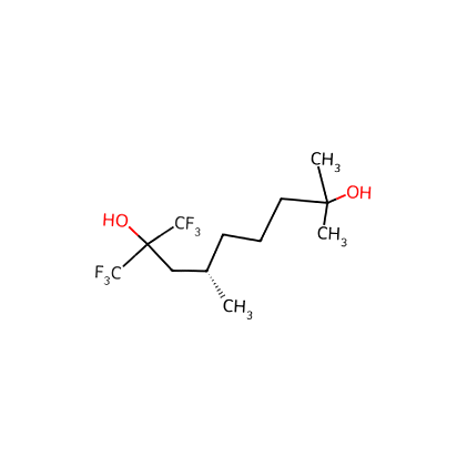 C[C@@H](CCCC(C)(C)O)CC(O)(C(F)(F)F)C(F)(F)F